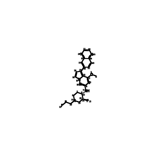 COc1nc(N[C@H]2CCN(CCF)C[C@@H]2F)nn2ccc(-c3ccc4nccnc4c3)c12